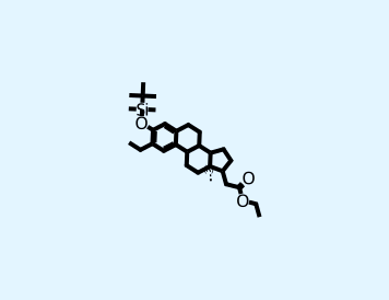 CCOC(=O)CC1CCC2C3CCc4cc(O[Si](C)(C)C(C)(C)C)c(CC)cc4C3CC[C@]12C